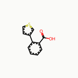 O=C(O)c1ccccc1-c1ccsc1